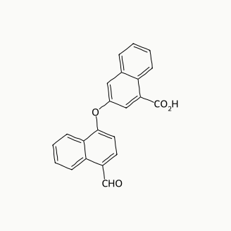 O=Cc1ccc(Oc2cc(C(=O)O)c3ccccc3c2)c2ccccc12